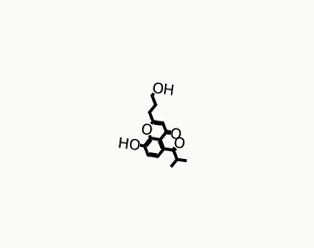 CC(C)C(=O)c1ccc(O)c2oc(CCCO)cc(=O)c12